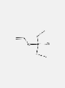 C=COP(=O)(CC)CC